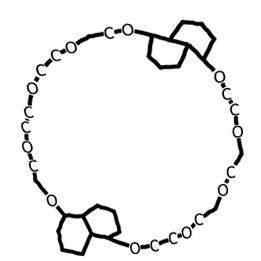 C1CC2OCCOCCOCCOCCOC3CCCC4C(CCCC34)OCCOCCOCCOCCOC3CCCC2C3C1